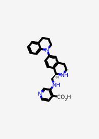 O=C(O)c1ccncc1NC[C@@H]1NCCc2cc(N3CCCc4ccccc43)ccc21